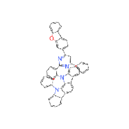 c1ccc(-c2cc(-c3ccc4c(c3)oc3ccccc34)nc(-c3ccccc3-n3c4ccccc4c4ccc5c6ccccc6n(-c6ccccc6)c5c43)n2)cc1